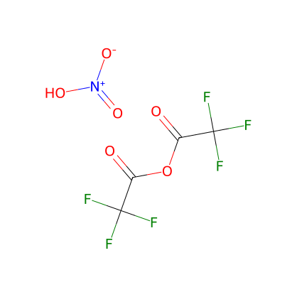 O=C(OC(=O)C(F)(F)F)C(F)(F)F.O=[N+]([O-])O